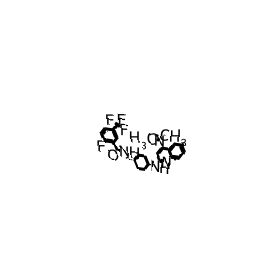 CN(C)c1cc(N[C@H]2CC[C@@H](CNC(=O)c3cc(C(F)(F)F)ccc3F)CC2)nc2ccccc12